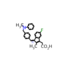 CC1=C(CC(=O)O)c2cc(F)ccc2/C1=C\c1ccc(CN(C)c2ccccc2)cc1